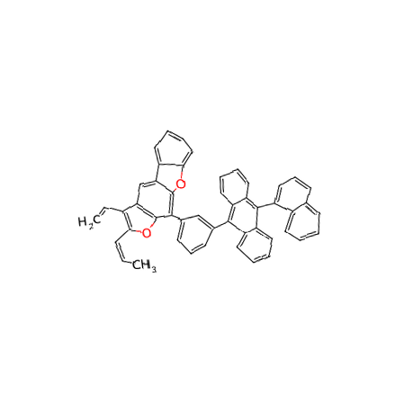 C=Cc1c(/C=C\C)oc2c(-c3cccc(-c4c5ccccc5c(-c5cccc6ccccc56)c5ccccc45)c3)c3oc4ccccc4c3cc12